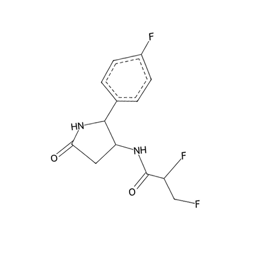 O=C1CC(NC(=O)C(F)CF)C(c2ccc(F)cc2)N1